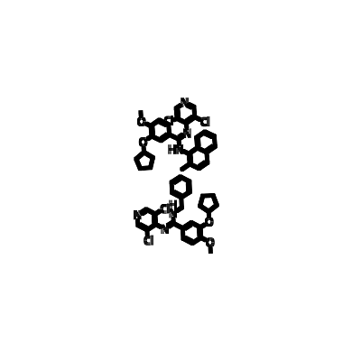 COc1ccc(C(=Nc2c(Cl)cncc2Cl)NCc2ccccc2)cc1OC1CCCC1.COc1ccc(C(=Nc2c(Cl)cncc2Cl)Nc2c(C)ccc3ccccc23)cc1OC1CCCC1